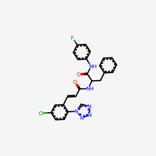 O=C(C=Cc1cc(Cl)ccc1-n1cnnn1)NC(Cc1ccccc1)C(=O)Nc1ccc(F)cc1